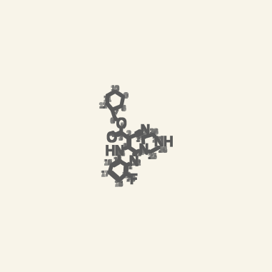 N#CC(C(=O)OCC1CCCCC1)=C1Nc2cccc(F)c2N=C1N1CCNCC1